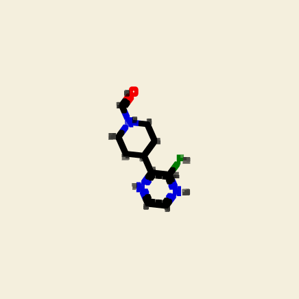 O=CN1CCC(c2nccnc2F)CC1